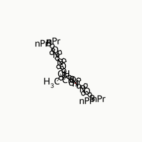 CCCB(CCC)c1ccc2oc3c(-n4c5ccccc5c5c6c7ccccc7n(-c7cccc8c7oc7ccc(B(c9ccc%10oc%11c(-n%12c%13ccccc%13c%13c%14c%15ccccc%15n(-c%15cccc%16c%15oc%15ccc(B(CCC)CCC)cc%15%16)c%14ccc%13%12)cccc%11c%10c9)c9c(C)cc(C)cc9C)cc78)c6ccc54)cccc3c2c1